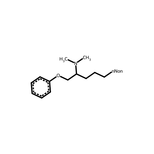 CCCCCCCCCCCCC(COc1ccccc1)N(C)C